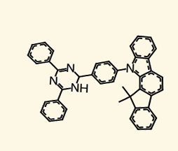 CC1(C)c2ccccc2-c2ccc3c4ccccc4n(-c4ccc(C5N=C(c6ccccc6)N=C(c6ccccc6)N5)cc4)c3c21